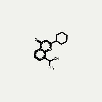 CC(O)c1cccc2c(=O)cc(C3CCCCC3)oc12